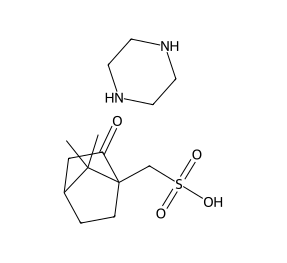 C1CNCCN1.CC1(C)C2CCC1(CS(=O)(=O)O)C(=O)C2